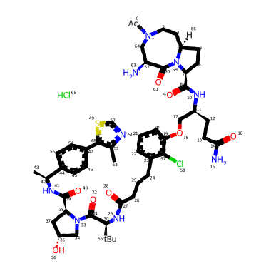 CC(=O)N1CC[C@H]2CC[C@@H](C(=O)N[C@@H](CCC(N)=O)COc3cccc(CCCC(=O)N[C@H](C(=O)N4C[C@H](O)C[C@H]4C(=O)N[C@@H](C)c4ccc(-c5scnc5C)cc4)C(C)(C)C)c3Cl)N2C(=O)[C@@H](N)C1.Cl